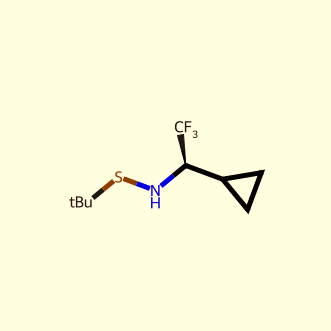 CC(C)(C)SN[C@H](C1CC1)C(F)(F)F